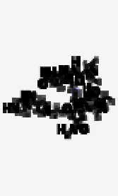 CCn1nc(C)cc1C(=O)Nc1nc2cc(C(N)=O)ccc2n1C/C=C/Cn1c(NC(=O)c2cc(C)nn2CC)nc2cc(C(N)=O)cc(OCCCN3CCC(c4nnc5n4CCNC5)CC3)c21